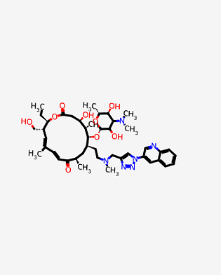 CC[C@H]1OC(=O)C[C@@H](O)[C@H](C)[C@@H](O[C@@H]2O[C@H](C)[C@@H](O)C(N(C)C)C2O)[C@@H](CCN(C)Cc2cn(-c3cnc4ccccc4c3)nn2)C[C@@H](C)C(=O)/C=C/C(C)=C/[C@@H]1CO